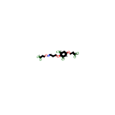 ClC(Cl)=CCON=CCCOc1c(Cl)cc(OCC=C(Cl)Cl)cc1Cl